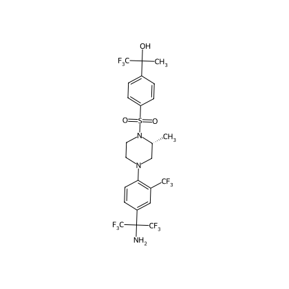 C[C@@H]1CN(c2ccc(C(N)(C(F)(F)F)C(F)(F)F)cc2C(F)(F)F)CCN1S(=O)(=O)c1ccc(C(C)(O)C(F)(F)F)cc1